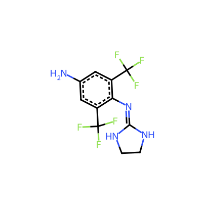 Nc1cc(C(F)(F)F)c(N=C2NCCN2)c(C(F)(F)F)c1